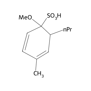 CCCC1C=C(C)C=CC1(OC)S(=O)(=O)O